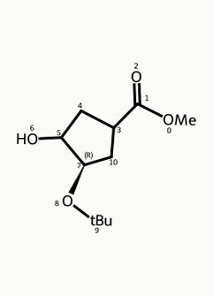 COC(=O)C1CC(O)[C@H](OC(C)(C)C)C1